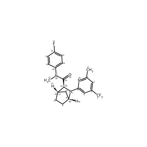 Cc1cc(C(F)(F)F)cc(N2[C@@H]3CC[C@@H](C3)[C@H]2C(=O)N(C)c2ccc(F)cc2)n1